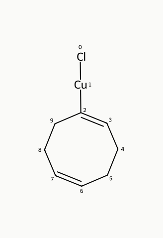 [Cl][Cu][C]1=CCCC=CCC1